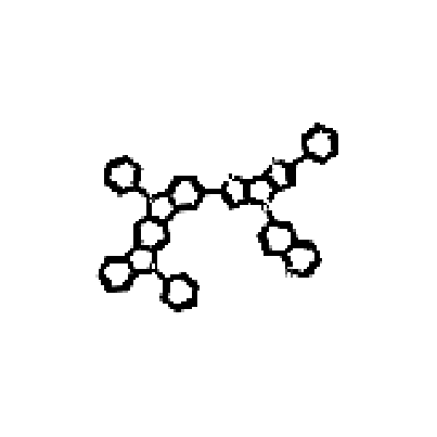 c1ccc(-c2cc3c(s2)c2sc(-c4ccc5c(c4)c4cc6c(cc4n5-c4ccccc4)c4ccccc4n6-c4ccccc4)cc2n3-c2ccc3ncccc3c2)cc1